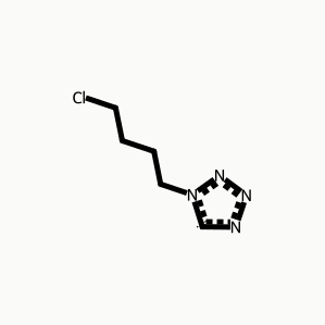 ClCCCCn1[c]nnn1